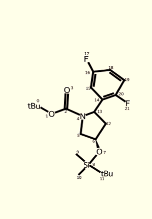 CC(C)(C)OC(=O)N1C[C@H](O[Si](C)(C)C(C)(C)C)CC1c1cc(F)ccc1F